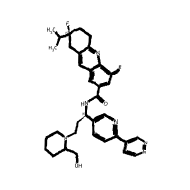 CC(C)[C@]1(F)CCc2nc3c(F)cc(C(=O)N[C@H](CCN4CCCCC4CO)c4ccc(-c5ccnnc5)nc4)cc3cc2C1